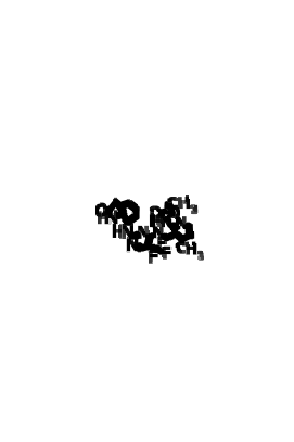 CCS(=O)(=O)Nc1nccc(C)c1CNc1nc(Nc2cccc3c2NC(=O)C3)ncc1C(F)(F)F